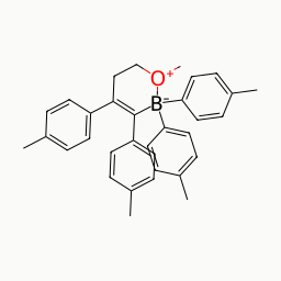 Cc1ccc(C2=C(c3ccc(C)cc3)[B-](c3ccc(C)cc3)(c3ccc(C)cc3)[O+](C)CC2)cc1